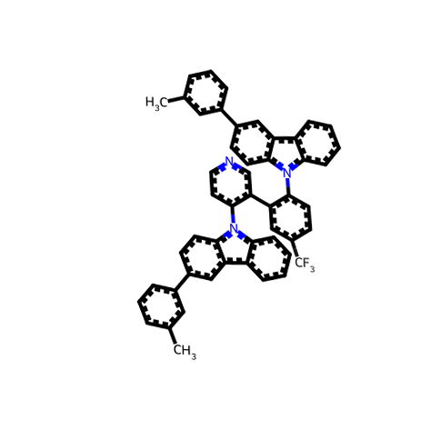 Cc1cccc(-c2ccc3c(c2)c2ccccc2n3-c2ccncc2-c2cc(C(F)(F)F)ccc2-n2c3ccccc3c3cc(-c4cccc(C)c4)ccc32)c1